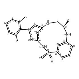 Cc1cccc(C)c1-c1cc2nc(n1)NS(=O)(=O)c1cccc(c1)N[C@H](C)CO2